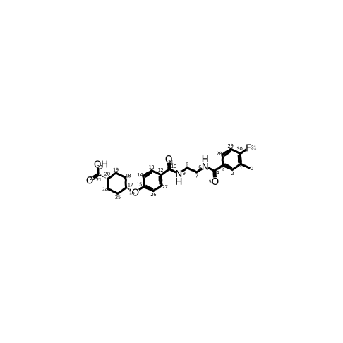 Cc1cc(C(=O)NCCNC(=O)c2ccc(O[C@H]3CC[C@@H](C(=O)O)CC3)cc2)ccc1F